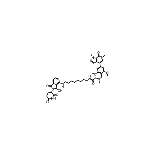 COc1cc(-c2cn(C)c(=O)c3c2cnn3C)cc(OC)c1CN(C)CC(=O)NCCCCCCCCNc1cccc2c1C(O)N(C1CCC(=O)NC1=O)C2=O